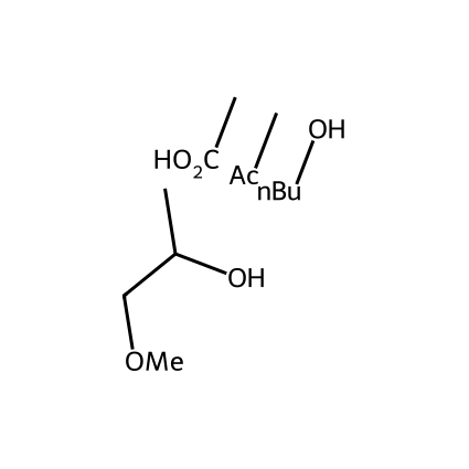 CC(=O)O.CC(C)=O.CCCCO.COCC(C)O